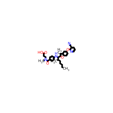 CCCCCC(C)C(Nc1ccc(C(=O)N(C)CCC(=O)O)cc1)c1oc2ccc(Oc3ncccc3C#N)cc2c1C